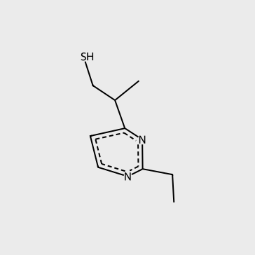 CCc1nccc(C(C)CS)n1